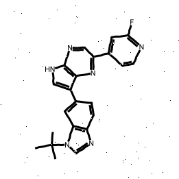 CC(C)(C)n1cnc2ccc(-c3c[nH]c4ncc(-c5ccnc(F)c5)nc34)cc21